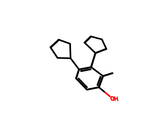 Cc1c(O)ccc(C2CCCC2)c1C1CCCC1